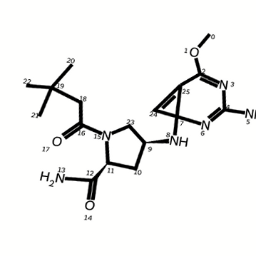 COC1=NC(N)=NC2(N[C@H]3C[C@@H](C(N)=O)N(C(=O)CC(C)(C)C)C3)C=C12